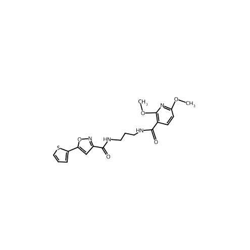 COc1ccc(C(=O)NCCCNC(=O)c2cc(-c3cccs3)on2)c(OC)n1